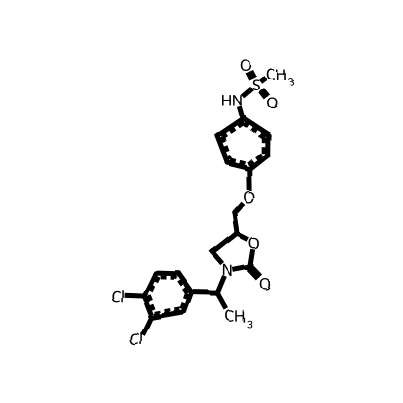 CC(c1ccc(Cl)c(Cl)c1)N1CC(COc2ccc(NS(C)(=O)=O)cc2)OC1=O